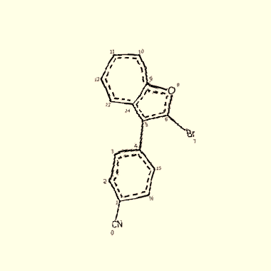 N#Cc1ccc(-c2c(Br)oc3ccccc23)cc1